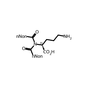 CCCCCCCCCC(=O)N(C(=O)CCCCCCCCC)[C@@H](CCCN)C(=O)O